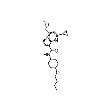 CCCCOC1CCC(NC(=O)c2ccn3c(COC)cc(C4CC4)nc23)CC1